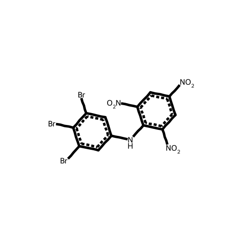 O=[N+]([O-])c1cc([N+](=O)[O-])c(Nc2cc(Br)c(Br)c(Br)c2)c([N+](=O)[O-])c1